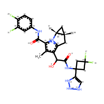 Cc1c(C(O)C(=O)NC2(C3=CNNN3)CC(F)(F)C2)c2n(c1C(=O)Nc1ccc(F)c(F)c1)[C@@H]1C[C@@H]1C2